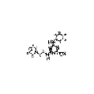 N#Cc1nc(NCCN2CCOCC2)nc(Nc2ccccc2)n1